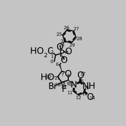 CC(C(=O)O)P(=O)(OC[C@H]1O[C@@H](n2ccc(=O)[nH]c2=O)[C@@](F)(Br)[C@@H]1O)Oc1ccccc1